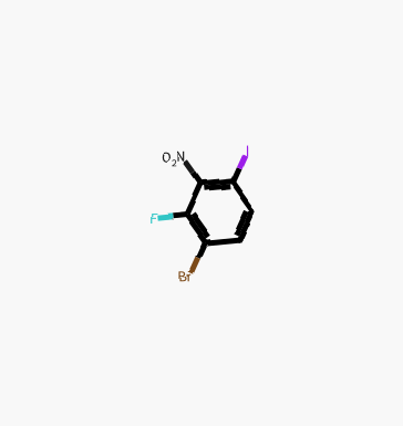 O=[N+]([O-])c1c(I)ccc(Br)c1F